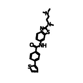 CN(C)CCN(C)c1nc2ccc(NC(=O)c3ccc(-c4cccs4)cc3)cc2s1